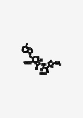 CO/N=C(\C(=O)N[C@@H]1C(=O)N2C(C(=O)[O-])=C(Cn3cc[n+]4c(C)cccc34)CS[C@H]12)c1csc(N)n1